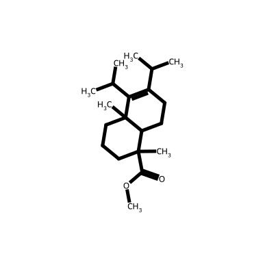 COC(=O)C1(C)CCCC2(C)C(C(C)C)=C(C(C)C)CCC12